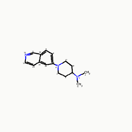 CN(C)C1CCN(c2ccc3cnccc3c2)CC1